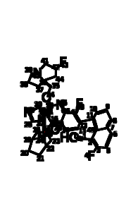 C#Cc1c(F)ccc2cccc(-c3ccc4c(N5CC6CCC(C5)N6C(=O)n5cncn5)nc(OC[C@@]56CCCN5C[C@H](F)C6)nc4c3F)c12